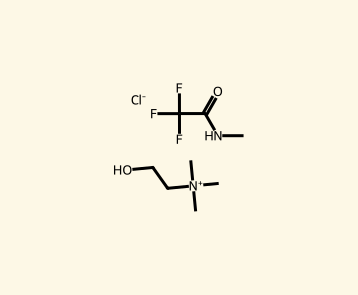 CNC(=O)C(F)(F)F.C[N+](C)(C)CCO.[Cl-]